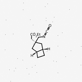 CCOC(=O)C[C@@]1(CN=C=O)C[C@H]2CC[C@H]2C1